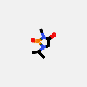 CC(C)N1CC(=O)N(C)[PH]1=O